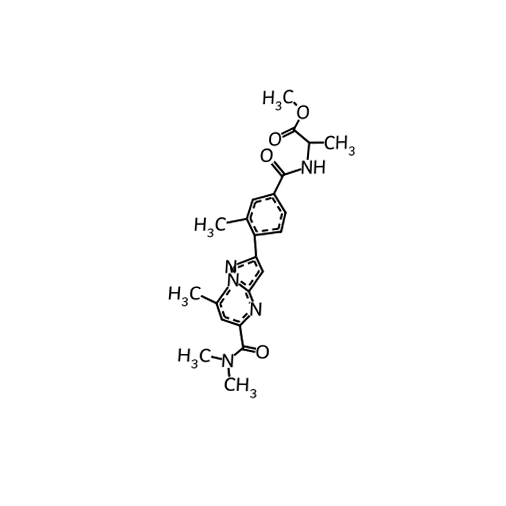 COC(=O)C(C)NC(=O)c1ccc(-c2cc3nc(C(=O)N(C)C)cc(C)n3n2)c(C)c1